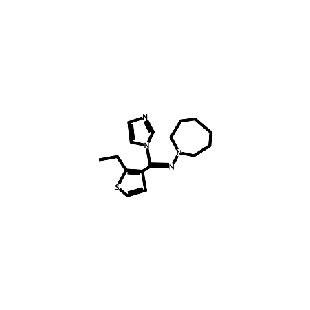 CCc1sccc1C(=NN1CCCCCC1)n1ccnc1